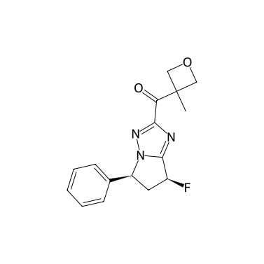 CC1(C(=O)c2nc3n(n2)[C@H](c2ccccc2)C[C@@H]3F)COC1